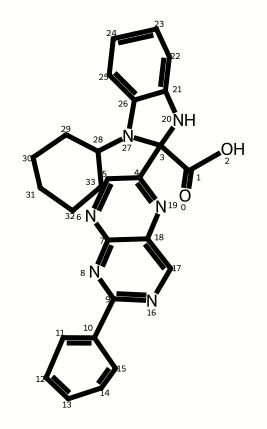 O=C(O)C1(c2cnc3nc(-c4ccccc4)ncc3n2)Nc2ccccc2N1C1CCCCC1